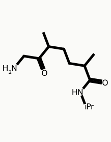 CC(C)NC(=O)C(C)CCC(C)C(=O)CN